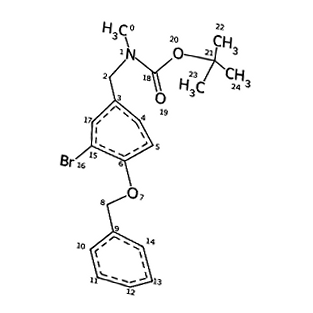 CN(Cc1ccc(OCc2ccccc2)c(Br)c1)C(=O)OC(C)(C)C